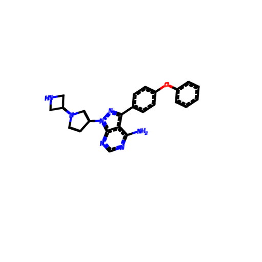 Nc1ncnc2c1c(-c1ccc(Oc3ccccc3)cc1)nn2C1CCN(C2CNC2)C1